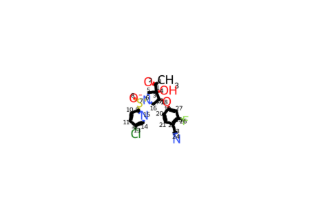 CC(=O)C1(O)CN([S+]([O-])c2ccc(Cl)cn2)C[C@@H]1Oc1ccc(C#N)c(F)c1